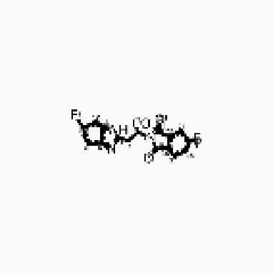 O=C(O)C(Cc1nc2ccc(F)cc2[nH]1)N1C(=O)c2ccc(F)cc2C1=O